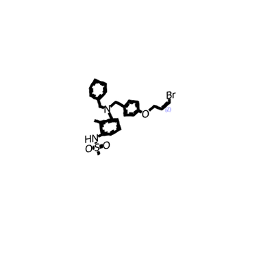 Cc1c(NS(C)(=O)=O)cccc1N(Cc1ccccc1)Cc1ccc(OC/C=C\Br)cc1